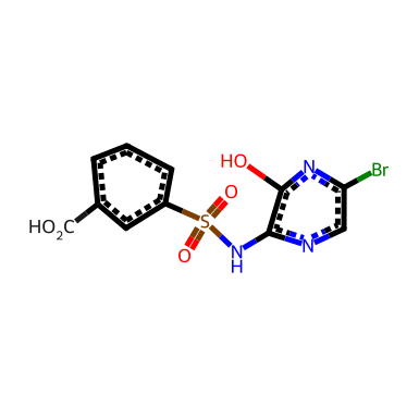 O=C(O)c1cccc(S(=O)(=O)Nc2ncc(Br)nc2O)c1